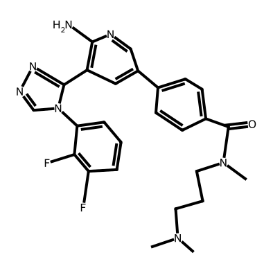 CN(C)CCCN(C)C(=O)c1ccc(-c2cnc(N)c(-c3nncn3-c3cccc(F)c3F)c2)cc1